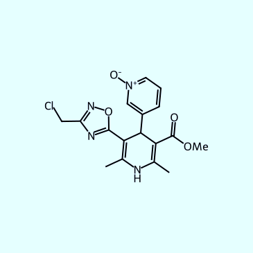 COC(=O)C1=C(C)NC(C)=C(c2nc(CCl)no2)C1c1ccc[n+]([O-])c1